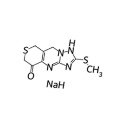 CSC1=NC2=NC3=C(CSCC3=O)CN2N1.[NaH]